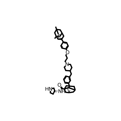 CC12CC3CC(C)(C1)CC(c1ccc(OCCCN4CCC(Cc5cccc(C67CC8CC(CC(C(=O)N[C@@H]9CCNC9)(C8)C6)C7)c5)CC4)cc1)(C3)C2